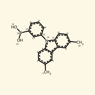 Cc1ccc2c(c1)c1cc(C)ccc1n2-c1cccc(B(O)O)c1